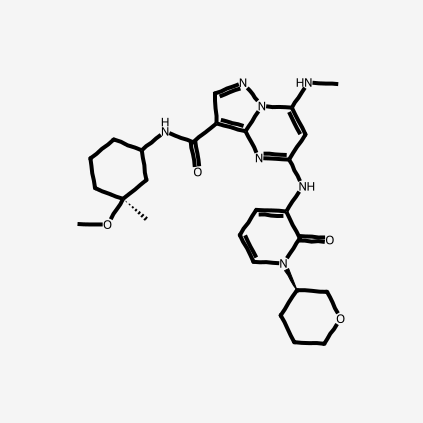 CNc1cc(Nc2cccn([C@@H]3CCCOC3)c2=O)nc2c(C(=O)NC3CCC[C@](C)(OC)C3)cnn12